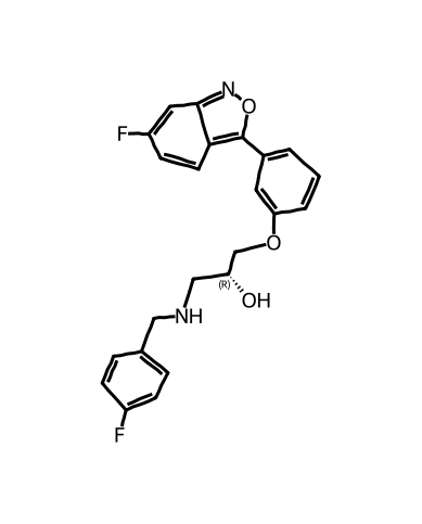 O[C@H](CNCc1ccc(F)cc1)COc1cccc(-c2onc3cc(F)ccc23)c1